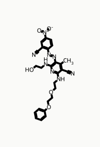 Cc1c(C#N)c(NCCOCCOc2ccccc2)nc(NCCO)c1N=Nc1ccc([N+](=O)[O-])cc1C#N